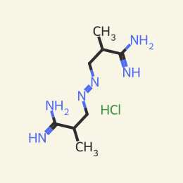 CC(CN=NCC(C)C(=N)N)C(=N)N.Cl